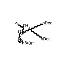 CCCCCCCCCCCCCCCCCCC(CCCCCCCCCCCCCCCCCC)CCCCC(CCC(C)CCCC(C)C)OC(=O)CCCn1cc[n+](CCCC)c1.[Br-]